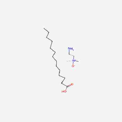 CCCCCCCCCCCCCC(=O)O.C[N+](C)([O-])CCN